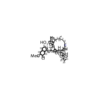 CC[C@@H]1C[C@@H](C)CC/C=C\[C@@H]2C[C@@]2(C(=O)NS(=O)(=O)C2(C)CC2)NC(=O)[C@@H]2C[C@@H](Oc3nccc4cc(OC)c(Cl)cc34)CN2C(=O)[C@H]1NC(=O)O